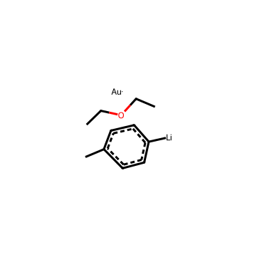 CCOCC.[Au].[Li][c]1ccc(C)cc1